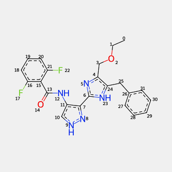 CCOCc1nc(-c2n[nH]cc2NC(=O)c2c(F)cccc2F)[nH]c1Cc1ccccc1